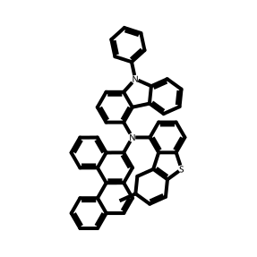 CC1C=Cc2sc3cccc(N(c4cc5ccc6ccccc6c5c5ccccc45)c4cccc5c4c4ccccc4n5-c4ccccc4)c3c2C1